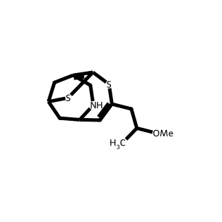 COC(C)C/C1=C/C2CC3CC(=C(S1)S3)CN2